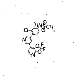 CS(=O)(=O)Nc1ccc(-c2cncc(-c3ccnc4c3OC(F)(F)O4)c2)c(Cl)c1